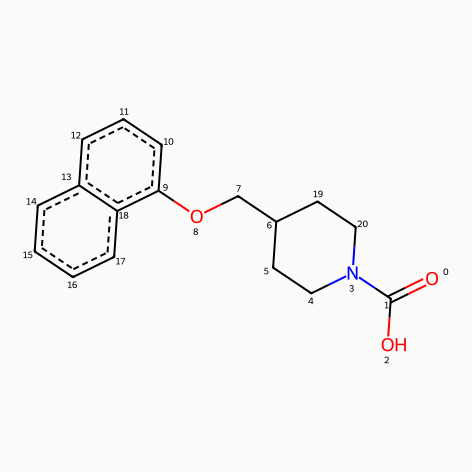 O=C(O)N1CCC(COc2cccc3ccccc23)CC1